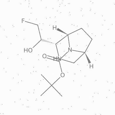 CC(C)(C)OC(=O)N1[C@@H]2CC[C@H]1[C@@H](C(O)CF)NC2